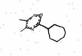 Cc1nnc(C2CCCCC2)nc1C